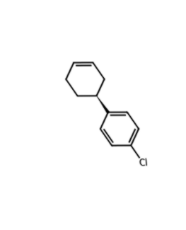 Clc1ccc([C@@H]2CC=CCC2)cc1